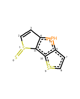 S=S1C=Cc2[pH]c3ccsc3c21